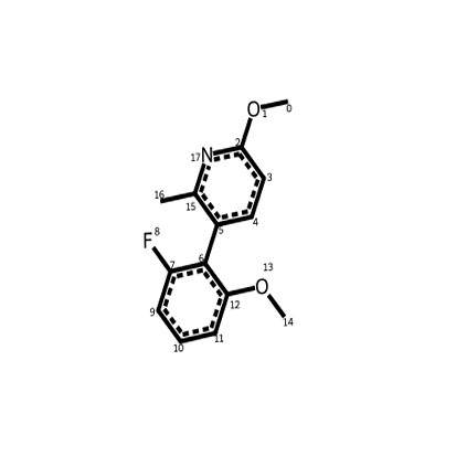 COc1ccc(-c2c(F)cccc2OC)c(C)n1